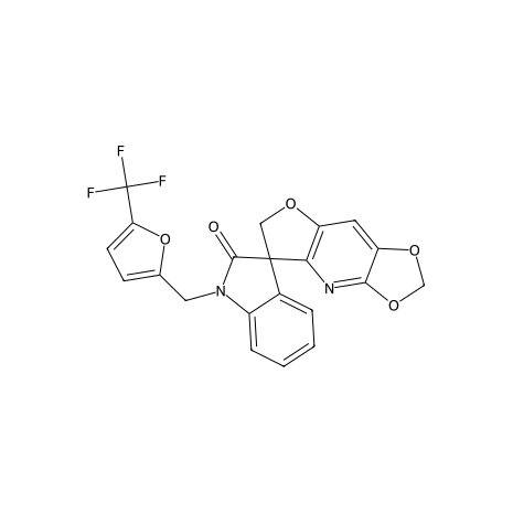 O=C1N(Cc2ccc(C(F)(F)F)o2)c2ccccc2C12COc1cc3c(nc12)OCO3